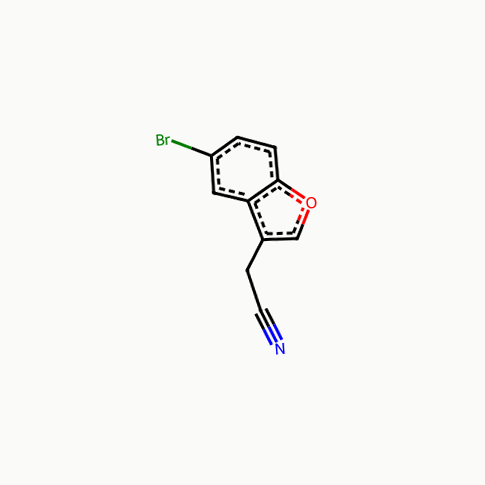 N#CCc1coc2ccc(Br)cc12